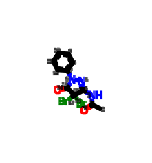 CC(=O)NC1=NN(c2ccccc2)C(=O)C1(Br)Br